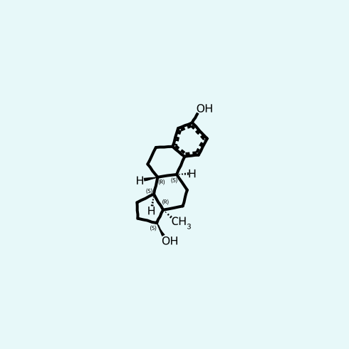 C[C@@]12CC[C@@H]3c4ccc(O)cc4CC[C@H]3[C@@H]1CC[C@@H]2O